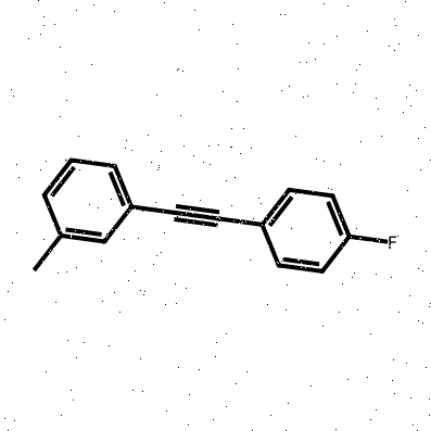 Cc1c[c]cc(C#Cc2ccc(F)cc2)c1